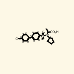 CC(C(=O)O)N(C1CCCC1)S(=O)(=O)c1ccc(-c2ccc(Cl)cc2)cc1